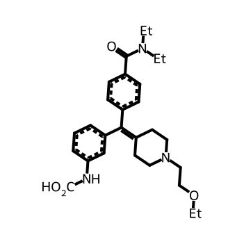 CCOCCN1CCC(=C(c2ccc(C(=O)N(CC)CC)cc2)c2cccc(NC(=O)O)c2)CC1